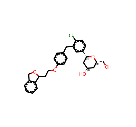 OC[C@@H]1C[C@H](O)C[C@H](c2ccc(Cl)c(Cc3ccc(OCCC4OCc5ccccc54)cc3)c2)O1